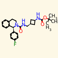 CC(C)(C)OC(=O)N[C@H]1C[C@@H](CNC(=O)N2CCc3ccccc3[C@@H]2c2ccc(F)cc2)C1